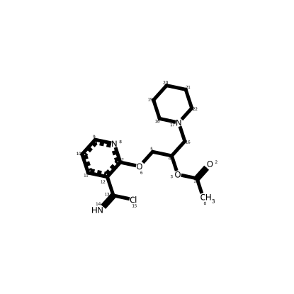 CC(=O)OC(COc1ncccc1C(=N)Cl)CN1CCCCC1